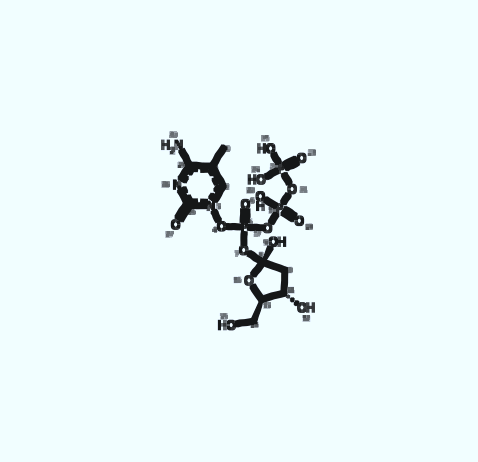 Cc1cn(OP(=O)(O[C@]2(O)C[C@H](O)[C@@H](CO)O2)OP(=O)(O)OP(=O)(O)O)c(=O)nc1N